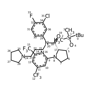 CC(C)(C)[Si](C)(C)O[C@@H]1CCN(c2cc(C(F)(F)F)cc(C(F)(F)F)n2)[C@@H]1C(=O)N(CCCN1CCCC1)c1ccc(F)c(Cl)c1